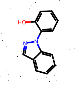 Oc1ccccc1-n1ncc2ccccc21